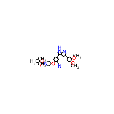 COc1ccc(-c2cnc3[nH]cc(-c4ccc(OC5CCN(C(=O)OC(C)(C)C)CC5)c(C#N)c4)c3c2)cc1OC